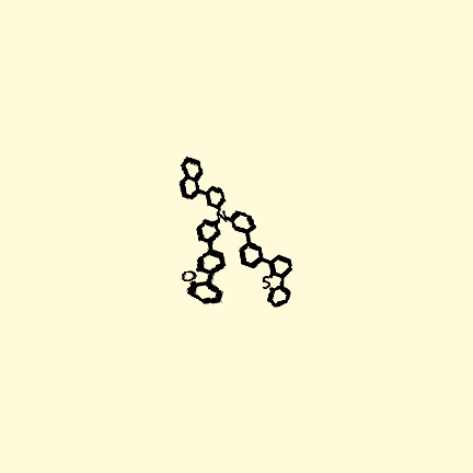 c1cc(-c2cccc(N(c3cccc(-c4ccc5c(c4)oc4ccccc45)c3)c3cccc(-c4cccc5ccccc45)c3)c2)cc(-c2cccc3c2sc2ccccc23)c1